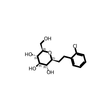 OC[C@H]1O[C@@H](CCc2ccccc2Cl)[C@H](O)[C@@H](O)[C@@H]1O